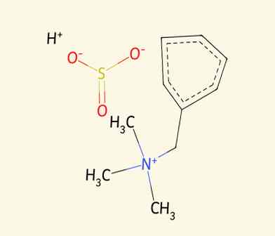 C[N+](C)(C)Cc1ccccc1.O=S([O-])[O-].[H+]